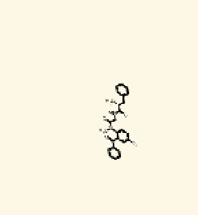 CN(C(=O)CNC(=O)[C@@H](N)Cc1ccccc1)c1ccc(Cl)cc1C(=O)c1ccccc1